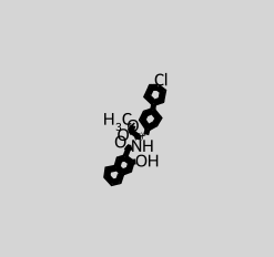 COC(=O)[C@H](Cc1ccc(-c2ccc(Cl)cc2)cc1)NC(=O)c1cc2ccccc2cc1O